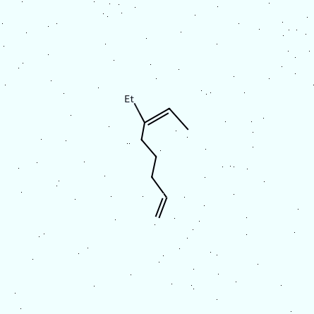 C=CCCCC(=CC)CC